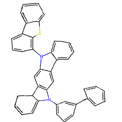 C1=CCC2C(=C1)N(c1cccc(-c3ccccc3)c1)c1cc3c4ccccc4n(-c4cccc5c4sc4ccccc45)c3cc12